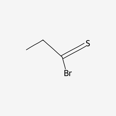 CCC(=S)Br